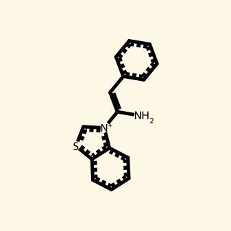 NC(=Cc1ccccc1)[n+]1csc2ccccc21